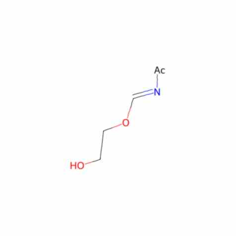 CC(=O)N=COCCO